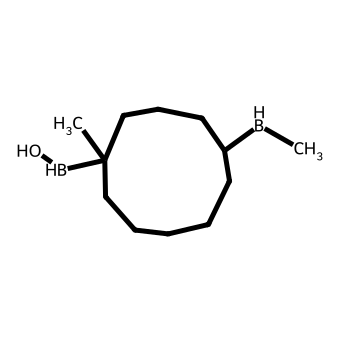 CBC1CCCCCC(C)(BO)CCC1